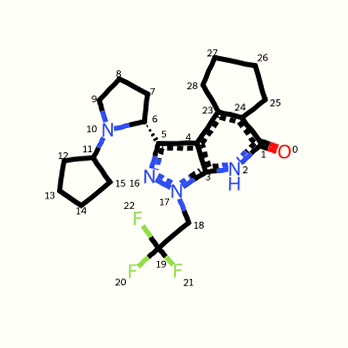 O=c1[nH]c2c(c([C@H]3CCCN3C3CCCC3)nn2CC(F)(F)F)c2c1CCCC2